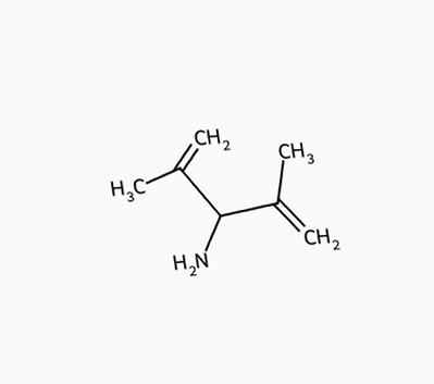 C=C(C)C(N)C(=C)C